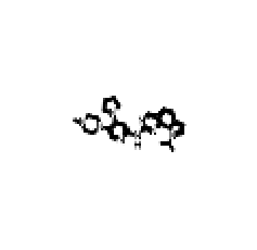 CC(C)n1ccc2ccc3cnc(Nc4cc(N5CCCC5)c(N5CCN(C)CC5)cn4)nc3c21